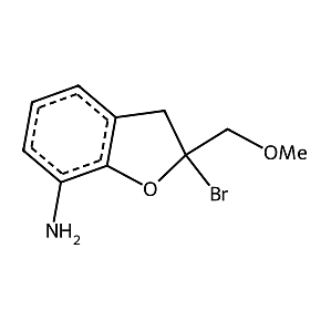 COCC1(Br)Cc2cccc(N)c2O1